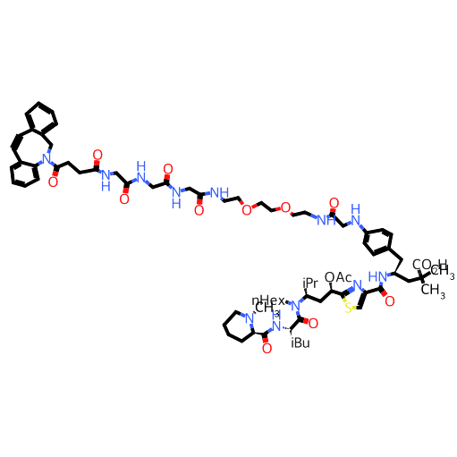 CCCCCCN(C(=O)[C@@H](NC(=O)[C@H]1CCCCN1C)[C@@H](C)CC)[C@H](C[C@@H](OC(C)=O)c1nc(C(=O)N[C@@H](Cc2ccc(NCC(=O)NCCOCCOCCNC(=O)CNC(=O)CNC(=O)CNC(=O)CCC(=O)N3Cc4ccccc4C#Cc4ccccc43)cc2)CC(C)(C)C(=O)O)cs1)C(C)C